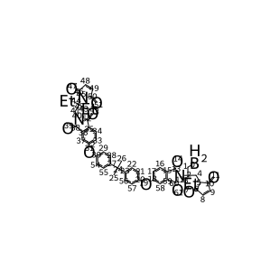 BCC(CC)(CC1C(=O)C=CC1=O)N1C(=O)c2ccc(Oc3ccc(C(C)(C)c4ccc(Oc5ccc6c(c5)C(=O)N(CC(CC)(CC)N5C(=O)C=CC5=O)C6=O)cc4)cc3)cc2C1=O